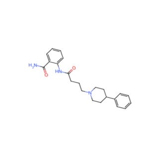 NC(=O)c1ccccc1NC(=O)CCCN1CCC(c2ccccc2)CC1